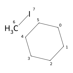 C1CCCCC1.CI